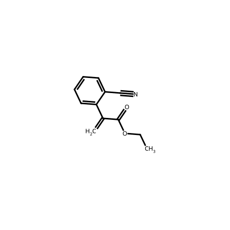 C=C(C(=O)OCC)c1ccccc1C#N